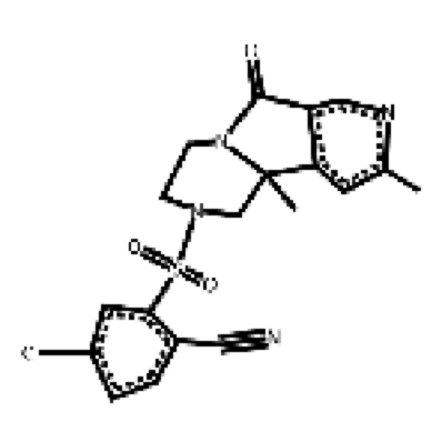 Cc1cc2c(cn1)C(=O)N1CCN(S(=O)(=O)c3cc(Cl)ccc3C#N)CC21C